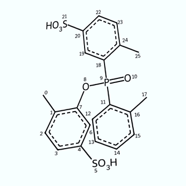 Cc1ccc(S(=O)(=O)O)cc1OP(=O)(c1ccccc1C)c1cc(S(=O)(=O)O)ccc1C